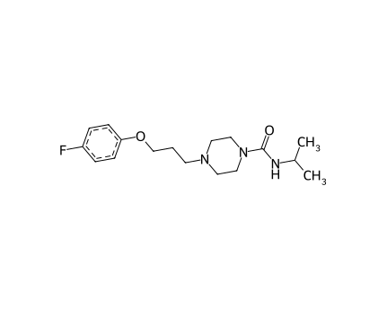 CC(C)NC(=O)N1CCN(CCCOc2ccc(F)cc2)CC1